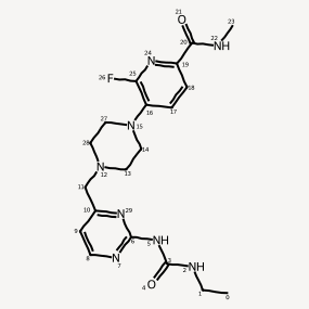 CCNC(=O)Nc1nccc(CN2CCN(c3ccc(C(=O)NC)nc3F)CC2)n1